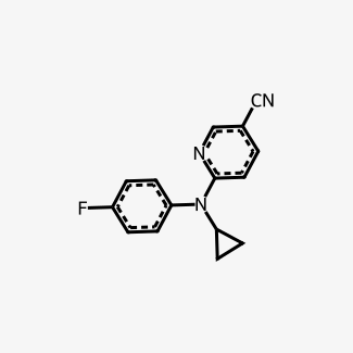 N#Cc1ccc(N(c2ccc(F)cc2)C2CC2)nc1